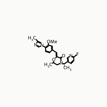 COc1cc(C=C2OC(C)CN([C@@H](C)c3ccc(F)nc3)C2=O)ccc1-n1cnc(C)c1